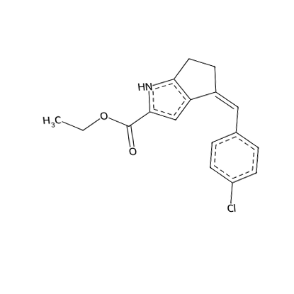 CCOC(=O)c1cc2c([nH]1)CC/C2=C/c1ccc(Cl)cc1